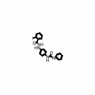 O=C(Nc1ccccc1)Nc1ccc(NNC(=O)c2ccccc2I)cc1